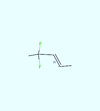 C/[C]=C/C(C)(F)F